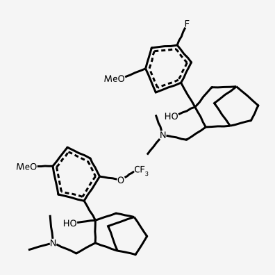 COc1cc(F)cc(C2(O)CC3CCC(C3)C2CN(C)C)c1.COc1ccc(OC(F)(F)F)c(C2(O)CC3CCC(C3)C2CN(C)C)c1